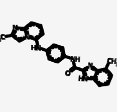 Cc1cccc2[nH]c(C(=O)Nc3ccc(Nc4cccc5nc(C(F)(F)F)cn45)cc3)nc12